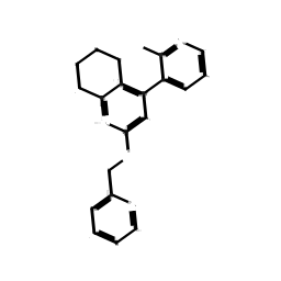 Fc1ncccc1-c1cc(OCc2ccccn2)nc2c1CCCC2